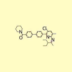 CCC(CC)/C(C)=N\c1nc(-c2ccc(-c3ccc(C(=O)N4CCCCC4)cc3)cc2)c(Cl)cc1C